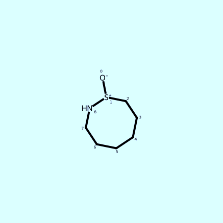 [O-][S+]1CCCCCCN1